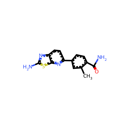 Cc1cc(-c2ccc3nc(N)sc3n2)ccc1C(N)=O